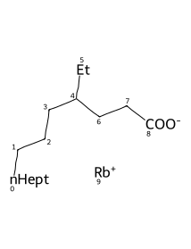 CCCCCCCCCCC(CC)CCC(=O)[O-].[Rb+]